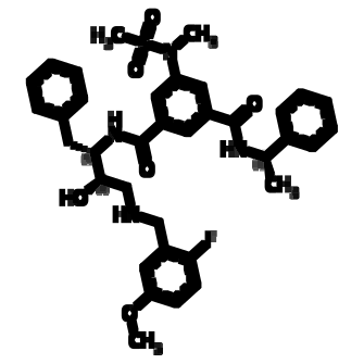 COc1ccc(F)c(CNC[C@@H](O)[C@H](Cc2ccccc2)NC(=O)c2cc(C(=O)N[C@H](C)c3ccccc3)cc(N(C)S(C)(=O)=O)c2)c1